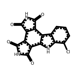 O=c1[nH]c(=O)c2c1c1[nH]c3c(Cl)cccc3c1c1c(=O)[nH]c(=O)c21